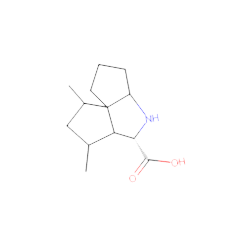 CC1CC(C)C23CCCC2N[C@H](C(=O)O)C13